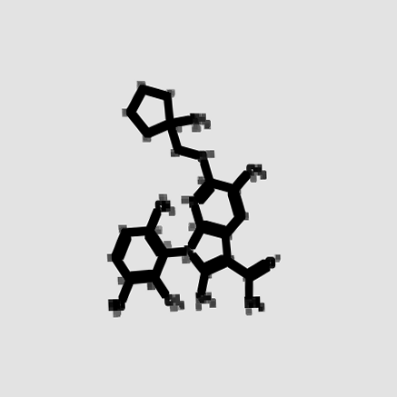 Cc1cc2c(C(N)=O)c(N)n(-c3c(C)ccc(O)c3C)c2nc1OCC1(N)CCCC1